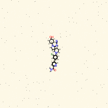 CN(C)C(=O)c1ccc(-c2ccc(N3CCCC4(CCN(C5CCC(O)CC5)C4=NC#N)C3)c(F)c2)cn1